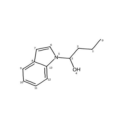 CCCC(O)n1ccc2ccccc21